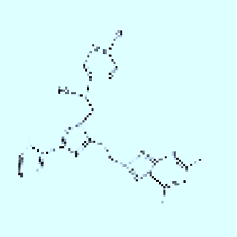 Cc1cc(C)n2cc(CCc3nc(-c4cncs4)cn3CC(O)c3ccc(Cl)cc3)nc2n1